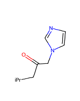 CC(C)CC(=O)Cn1ccnc1